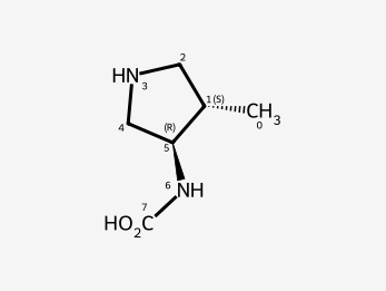 C[C@H]1CNC[C@@H]1NC(=O)O